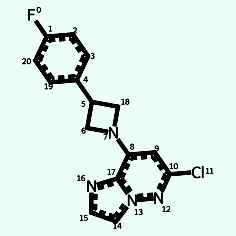 Fc1ccc(C2CN(c3cc(Cl)nn4ccnc34)C2)cc1